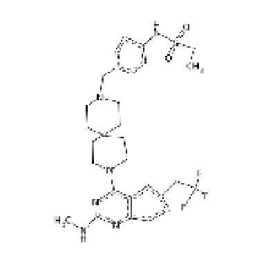 CCS(=O)(=O)Nc1ccc(CN2CCC3(CC2)CCN(c2nc(NC)nc4ccc(CC(F)(F)F)cc24)CC3)cc1